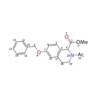 COC(=O)C1c2ccc(OCc3ccccc3)cc2CCN1C(C)=O